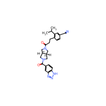 CC(C)c1cc(C#N)ccc1CCC(=O)N1C[C@@H]2CN(C(=O)c3ccc4[nH]nnc4c3)C[C@H]2C1